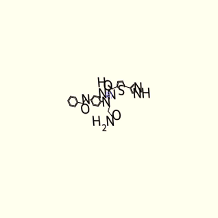 CN(C(=O)c1ccccc1)c1ccc2c(c1)[nH]/c(=N\C(=O)c1ccc(-c3cn[nH]c3)s1)n2CCC(N)=O